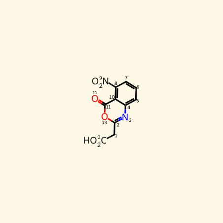 O=C(O)Cc1nc2cccc([N+](=O)[O-])c2c(=O)o1